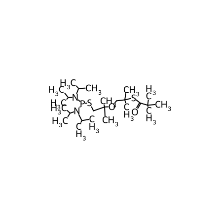 CC(C)N(C(C)C)P(SCC(C)(C)OCC(C)(C)SC(=O)C(C)(C)C)N(C(C)C)C(C)C